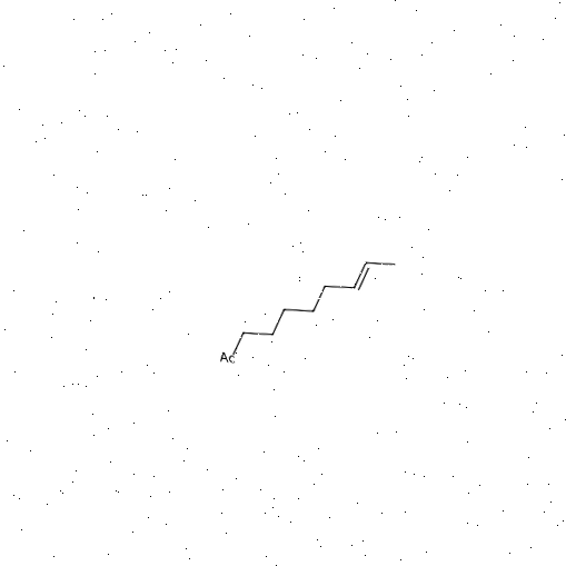 CC=CCCCCCC(C)=O